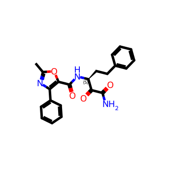 Cc1nc(-c2ccccc2)c(C(=O)N[C@@H](CCc2ccccc2)C(=O)C(N)=O)o1